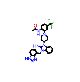 CC(=O)Nc1ccc(C(F)(F)F)cc1N1CCC(n2c(=N)n(Cc3cccc4[nH]nnc34)c3ccccc32)CC1